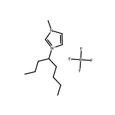 CCCCC(CCC)[n+]1ccn(C)c1.F[B-](F)(F)F